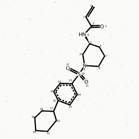 C=CC(=O)N[C@H]1CCCN(S(=O)(=O)c2ccc(C3CCCCC3)cc2)C1